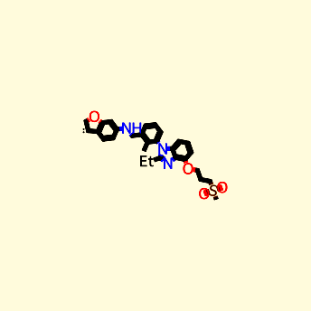 CCc1nc2c(OCCCS(C)(=O)=O)cccc2n1-c1cccc(CNc2ccc3c(c2)OC[C]3)c1C